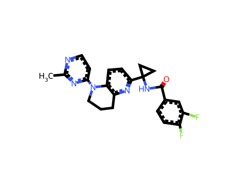 Cc1nccc(N2CCCc3nc(C4(NC(=O)c5ccc(F)c(F)c5)CC4)ccc32)n1